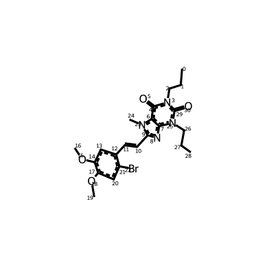 CCCn1c(=O)c2c(nc(/C=C/c3cc(OC)c(OC)cc3Br)n2C)n(CCC)c1=O